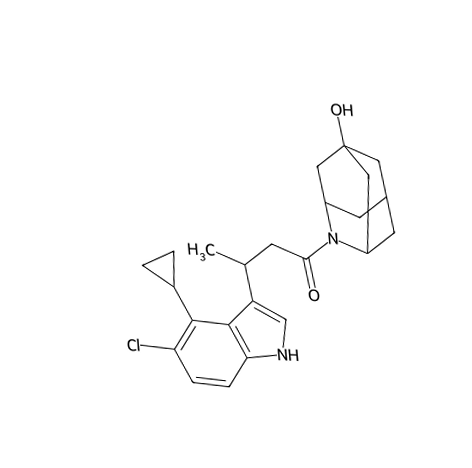 CC(CC(=O)N1C2CC3CC1CC(O)(C3)C2)c1c[nH]c2ccc(Cl)c(C3CC3)c12